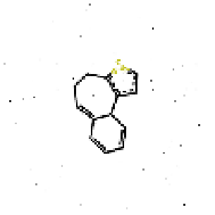 C1=CC2=CCCc3sccc3C2C=C1